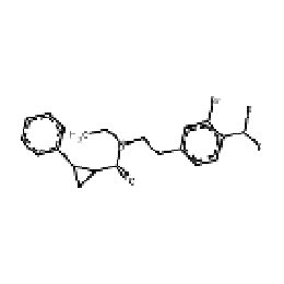 CCN(CCc1ccc([C](F)F)c(Br)c1)C(=O)C1CC1c1ccccc1